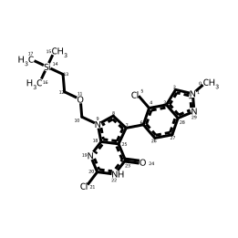 Cn1cc2c(Cl)c(-c3cn(COCC[Si](C)(C)C)c4nc(Cl)[nH]c(=O)c34)ccc2n1